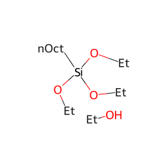 CCCCCCCC[Si](OCC)(OCC)OCC.CCO